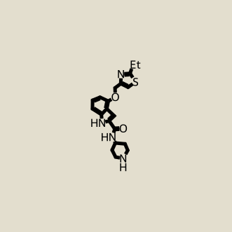 CCc1nc(COc2cccc3[nH]c(C(=O)NC4CCNCC4)cc23)cs1